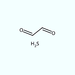 O=CC=O.S